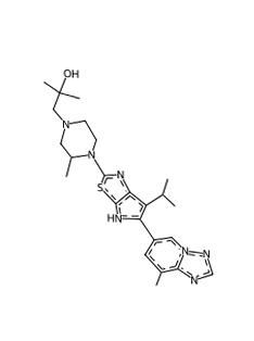 Cc1cc(-c2[nH]c3sc(N4CCN(CC(C)(C)O)CC4C)nc3c2C(C)C)cn2ncnc12